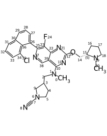 CN(CC1CCN(C#N)C1)c1nc(OC[C@@H]2CCCN2C)nc2c(F)c(-c3cccc4cccc(Cl)c34)ncc12